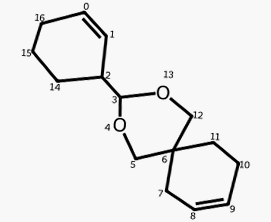 C1=CC(C2OCC3(CC=CCC3)CO2)CCC1